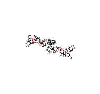 O=[N+]([O-])c1ccc(Oc2ccc(C34CC5CC(C3)CC(C36CC7CC(CC(c8ccc(Oc9ccc([N+](=O)[O-])c(OCc%10ccccc%10)c9)cc8)(C7)C3)C6)(C5)C4)cc2)cc1OCc1ccccc1